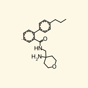 CCCc1ccc(-c2cc[c]cc2C(=O)NCC2(N)CCOCC2)cc1